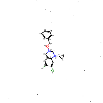 Fc1cc2c(cc1Cl)N(C1CC1)CN(OCc1ccccc1)C2